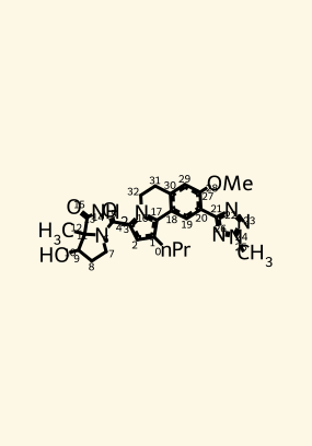 CCCc1cc(C(=O)N2CCC(O)C2(C)C(N)=O)n2c1-c1cc(-c3nnn(C)n3)c(OC)cc1CC2